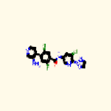 Nc1cnccc1-c1cc(F)c(C(=O)Nc2cnc(-n3nccn3)c(Cl)c2)cc1Cl